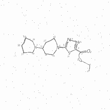 CCOC(=O)c1nnc(N2CCC(N3CCCCC3)CC2)s1